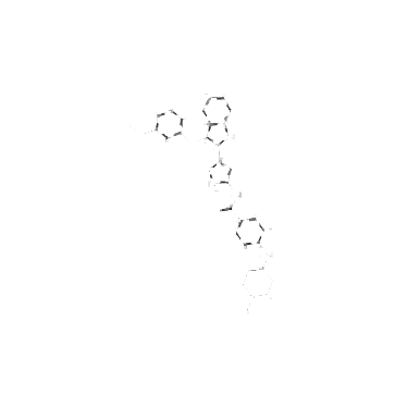 COc1cccc(Oc2c(-c3cc(NC(=O)c4ccc(NC5CCN(C)CC5)cc4)[nH]n3)[nH]c3ccccc23)c1